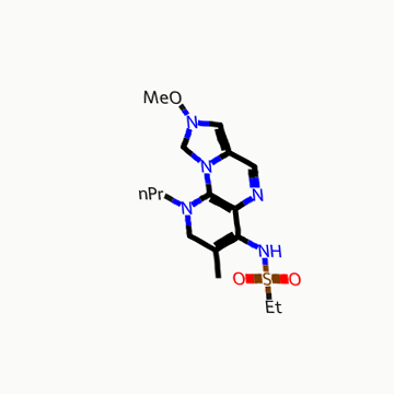 CCCN1CC(C)=C(NS(=O)(=O)CC)C2=C1N1CN(OC)C=C1C=N2